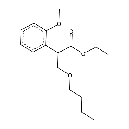 CCCCOCC(C(=O)OCC)c1ccccc1OC